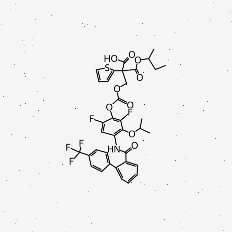 CCC(C)OC(=O)C(COC(=O)Oc1c(F)cc(NC(=O)c2ccccc2-c2ccc(C(F)(F)F)cc2)c(OC(C)C)c1F)(C(=O)O)c1cccs1